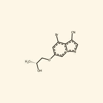 C[C@@H](O)COc1cc(Br)c2c(C#N)cnn2c1